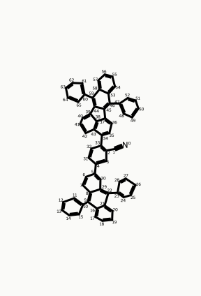 N#Cc1cc(-c2ccc3c(-c4ccccc4)c4ccccc4c(-c4ccccc4)c3c2)ccc1-c1ccc2c3c(cccc13)-c1c-2c(-c2ccccc2)c2ccccc2c1-c1ccccc1